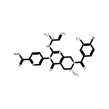 C=C[C@H](C)Nc1nc2c(c(=O)n1-c1ccc(C(=O)NC)nc1)C[C@@H](C)N(C(=O)c1ccc(Br)c(C(F)(F)F)c1)C2